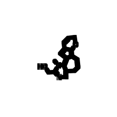 CN1C(CO)=NC=C2CC=CC3=C4OCC=CC4=CC3=C21